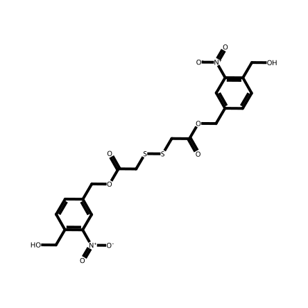 O=C(CSSCC(=O)OCc1ccc(CO)c([N+](=O)[O-])c1)OCc1ccc(CO)c([N+](=O)[O-])c1